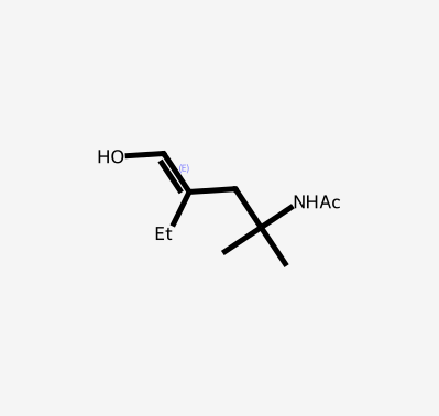 CC/C(=C\O)CC(C)(C)NC(C)=O